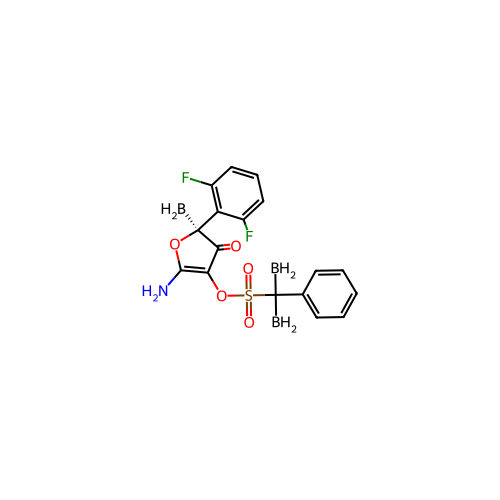 BC(B)(c1ccccc1)S(=O)(=O)OC1=C(N)O[C@@](B)(c2c(F)cccc2F)C1=O